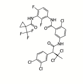 CC(Cl)(Cl)[C@H](C(=O)Nc1ccc(Cl)c(C(=O)Nc2ccc(F)c(NC(=O)C3(C(F)(F)F)CC3)c2F)c1)c1ccc(Cl)c(Cl)c1